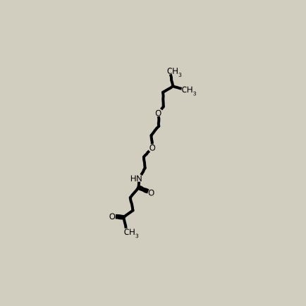 CC(=O)CCC(=O)NCCOCCOCCC(C)C